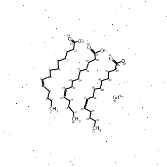 CCCC/C=C\CCCCCCCC(=O)[O-].CCCC/C=C\CCCCCCCC(=O)[O-].CCCC/C=C\CCCCCCCC(=O)[O-].[Gd+3]